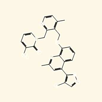 Cc1cc(-c2sncc2Cl)c2cccc(OCc3c(C)ccnc3Cn3cccc(C(F)(F)F)c3=O)c2n1